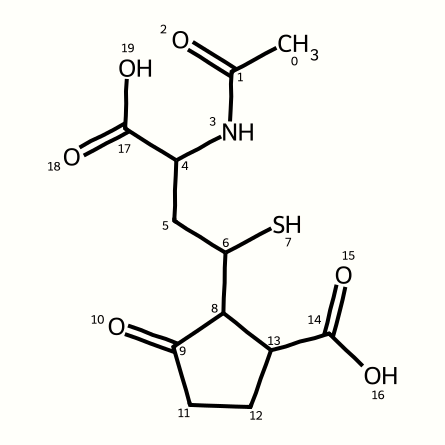 CC(=O)NC(CC(S)C1C(=O)CCC1C(=O)O)C(=O)O